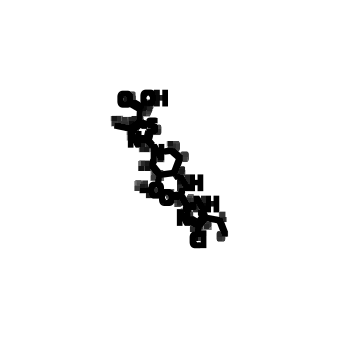 CCc1[nH]c(C(=O)N[C@@H]2CCN(c3nc(C)c(C(=O)O)s3)C[C@@H]2OC)nc1Cl